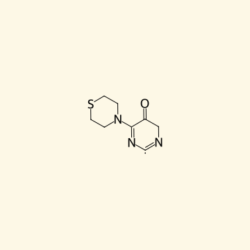 O=C1CN=[C]N=C1N1CCSCC1